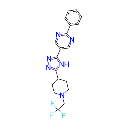 FC(F)(F)CN1CCC(c2nnc(-c3cnc(-c4ccccc4)nc3)[nH]2)CC1